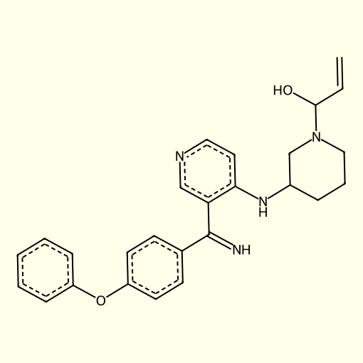 C=CC(O)N1CCCC(Nc2ccncc2C(=N)c2ccc(Oc3ccccc3)cc2)C1